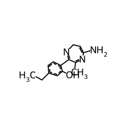 CCc1ccc(C2=NCC=C(N)N=C2C)c(O)c1